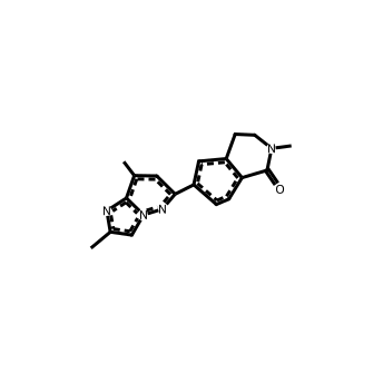 Cc1cn2nc(-c3ccc4c(c3)CCN(C)C4=O)cc(C)c2n1